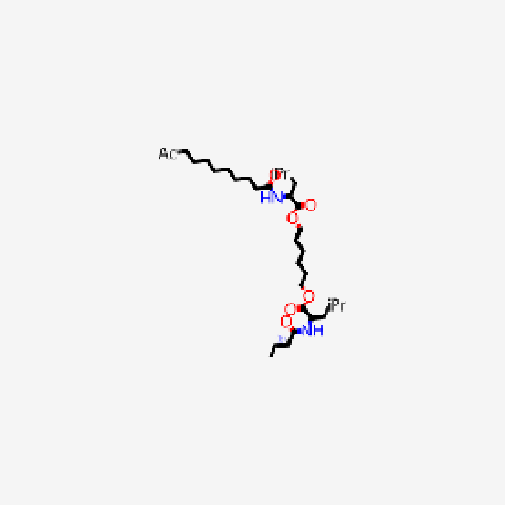 C/C=C/C(=O)NC(CC(C)C)C(=O)OCCCCCCOC(=O)C(CC(C)C)NC(=O)CCCCCCCCC(C)=O